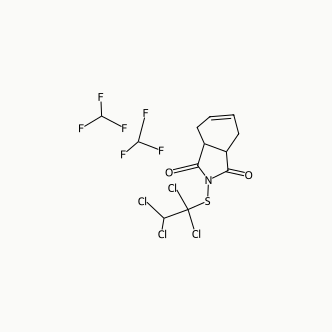 FC(F)F.FC(F)F.O=C1C2CC=CCC2C(=O)N1SC(Cl)(Cl)C(Cl)Cl